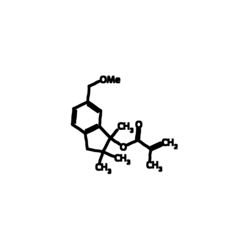 C=C(C)C(=O)OC1(C)c2cc(COC)ccc2CC1(C)C